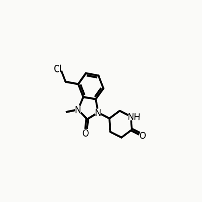 Cn1c(=O)n(C2CCC(=O)NC2)c2cccc(CCl)c21